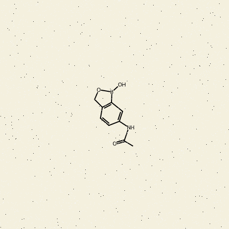 CC(=O)Nc1ccc2c(c1)B(O)OC2